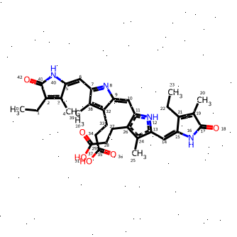 CCC1=C(C)/C(=C\C2=NC(=C/c3[nH]c(/C=C4/NC(=O)C(C)=C4CC)c(C)c3CCC(=O)O)/C(CCC(=O)O)=C2C)NC1=O